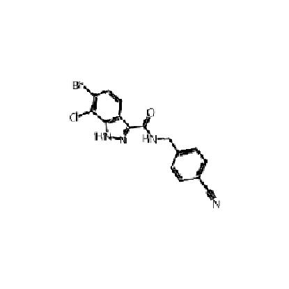 N#Cc1ccc(CNC(=O)c2n[nH]c3c(Cl)c(Br)ccc23)cc1